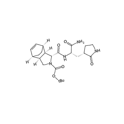 CC(C)(C)OC(=O)N1C[C@@H]2[C@@H]([C@@H]3C=C[C@H]2CC3)[C@@H]1C(=O)N[C@@H](C[C@@H]1CCNC1=O)C(N)=O